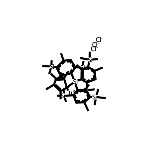 CC1=C(C)[C]([Ti+3])([Si](c2c([Si](C)(C)C)cc(C)c([Si](C)(C)C)c2C)(c2c([Si](C)(C)C)cc(C)c([Si](C)(C)C)c2C)c2c([Si](C)(C)C)cc(C)c([Si](C)(C)C)c2C)C(C)=C1C.[Cl-].[Cl-].[Cl-]